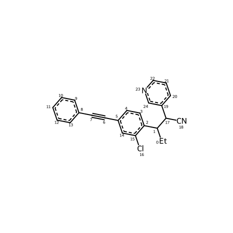 CCC(c1ccc(C#Cc2ccccc2)cc1Cl)C(C#N)c1cccnc1